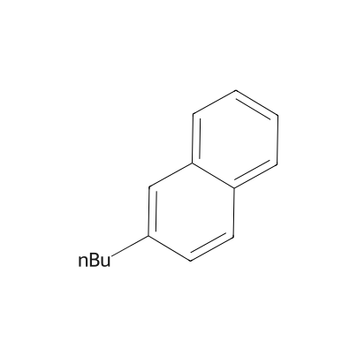 [CH2]CCCc1ccc2ccccc2c1